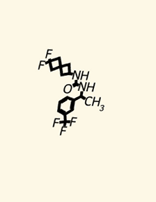 CC(NC(=O)NC1CC2(C1)CC(F)(F)C2)c1cccc(C(F)(F)F)c1